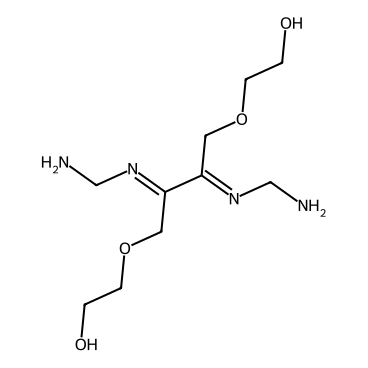 NC/N=C(COCCO)/C(COCCO)=N/CN